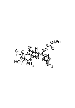 CC(=O)CC(=O)OC1(C(=O)O)CN2C(=O)C(NC(=O)C(=NOCC(=O)OC(C)(C)C)c3nsc(N)n3)[C@H]2SC1C